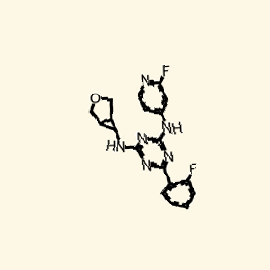 Fc1cc(Nc2nc(NC3C4COCC43)nc(-c3ccccc3F)n2)ccn1